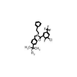 CC(C)(C)c1ccc(CN(CCc2ccccc2)C(=O)c2cc(C(F)(F)F)cc(Cl)c2F)cc1